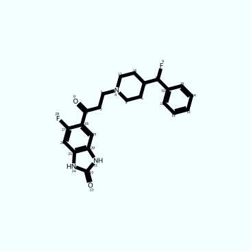 O=C(CCN1CCC(C(F)c2ccccc2)CC1)c1cc2[nH]c(=O)[nH]c2cc1F